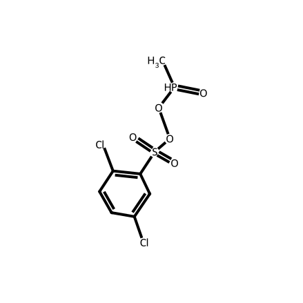 C[PH](=O)OOS(=O)(=O)c1cc(Cl)ccc1Cl